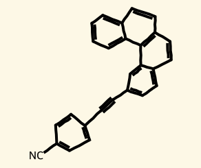 N#Cc1ccc(C#Cc2ccc3ccc4ccc5ccccc5c4c3c2)cc1